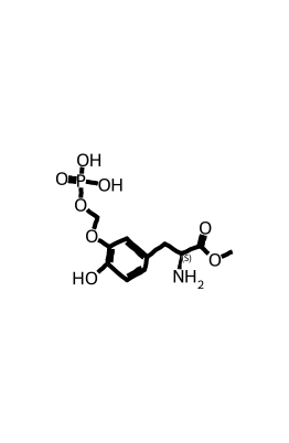 COC(=O)[C@@H](N)Cc1ccc(O)c(OCOP(=O)(O)O)c1